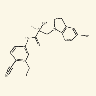 C[C@](O)(CN1CCc2cc(Br)ccc21)C(=O)Nc1ccc(C#N)c(CI)c1